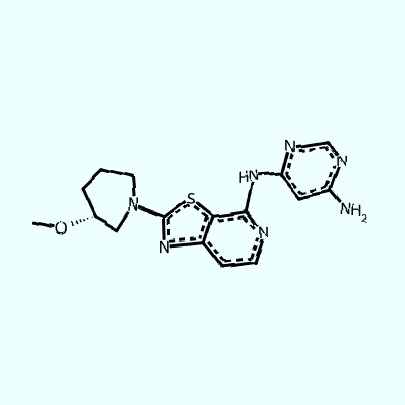 CO[C@@H]1CCCN(c2nc3ccnc(Nc4cc(N)ncn4)c3s2)C1